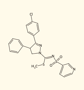 CSC(=NS(=O)(=O)c1cccnc1)N1CC(c2ccccc2)C(c2ccc(Cl)cc2)=N1